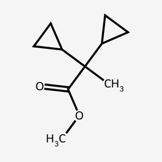 COC(=O)C(C)(C1CC1)C1CC1